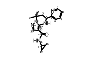 CC1(C)CC(c2ccccn2)Nc2c(C(=O)NC3CC3)cnn21